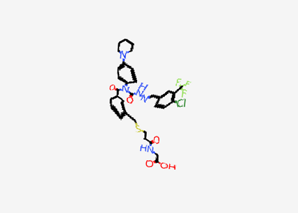 O=C(O)CNC(=O)CCSCc1cccc(C(=O)N(C(=O)NN=Cc2ccc(Cl)c(C(F)(F)F)c2)c2ccc(N3CCCCC3)cc2)c1